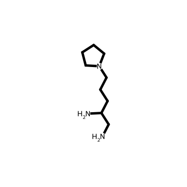 NCC(N)CCCN1CCCC1